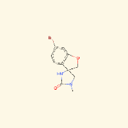 CN1CC2(COc3cc(Br)ccc32)NC1=O